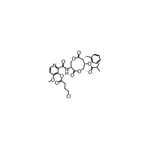 COc1ccnc(C(=O)N[C@H]2COC(=O)[C@H](Cc3ccccc3)[C@@H](OC(=O)C(C)C)[C@H](C)OC2=O)c1OC(=O)CCCCl